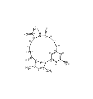 Cc1cc(C)c2cc1C(=O)NCCC(C(N)=O)NC(=O)CCSc1cc-2nc(N)n1